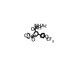 CC(=O)NNC(=O)C1CC(c2ccc(OC(F)(F)F)cc2)CN(C(=O)N2CCOCC2)C1